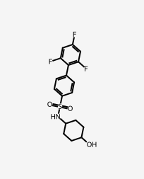 O=S(=O)(NC1CCC(O)CC1)c1ccc(-c2c(F)cc(F)cc2F)cc1